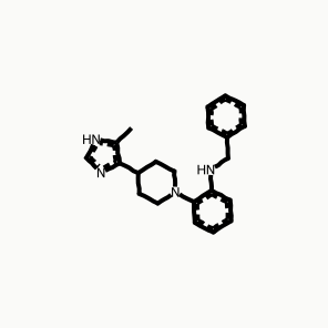 Cc1[nH]cnc1C1CCN(c2ccccc2NCc2ccccc2)CC1